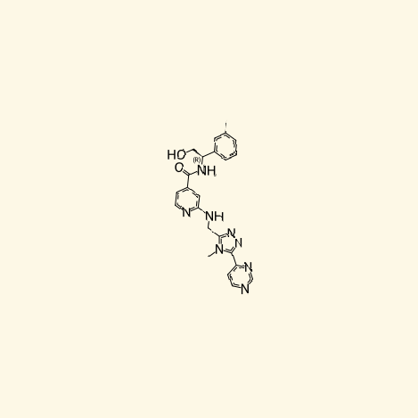 Cc1cccc([C@H](CO)NC(=O)c2ccnc(NCc3nnc(-c4ccncn4)n3C)c2)c1